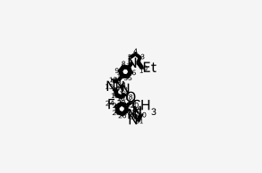 CC/C=C1\CCCN1c1ccc(-c2cnc3ccc(OC(C)c4cc(F)ccc4-n4nccn4)nn23)cc1